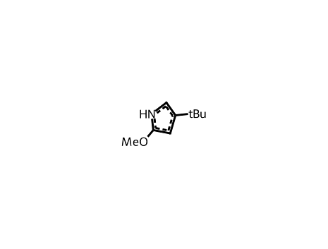 COc1cc(C(C)(C)C)c[nH]1